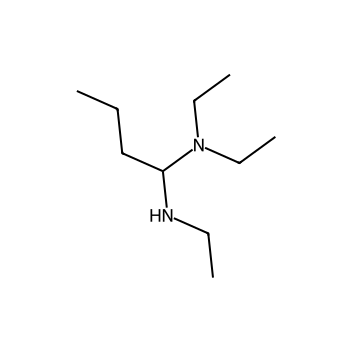 CCCC(NCC)N(CC)CC